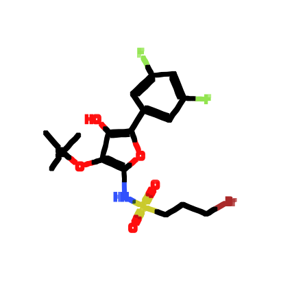 C[Si](C)(C)Oc1c(NS(=O)(=O)CCCBr)oc(-c2cc(F)cc(F)c2)c1O